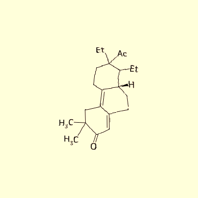 CCC1[C@@H]2CCC3=CC(=O)C(C)(C)CC3=C2CCC1(CC)C(C)=O